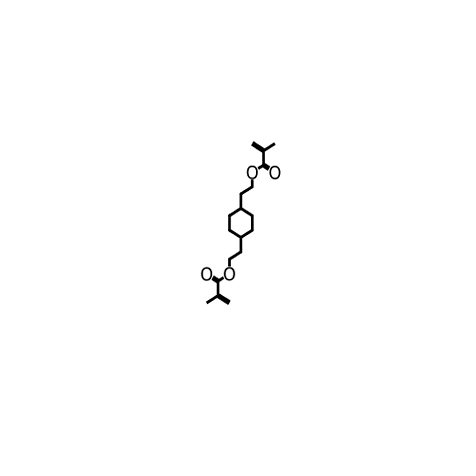 C=C(C)C(=O)OCCC1CCC(CCOC(=O)C(=C)C)CC1